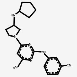 CCCc1cc(N2CCC(NC3CCCC3)C2)nc(Nc2cccc(C#N)c2)n1